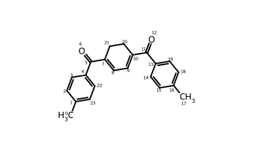 Cc1ccc(C(=O)C2=CC=C(C(=O)c3ccc(C)cc3)CC2)cc1